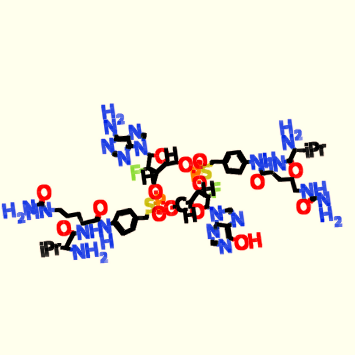 CC(C)C(N)C(=O)N[C@@H](CCCNC(N)=O)C(=O)Nc1ccc(CSP2(=O)OC[C@H]3[C@@H](F)[C@H](n4cnc5c(N)ncnc54)O[C@@H]3COP(=O)(SCc3ccc(NC(=O)[C@H](CCCNC(N)=O)NC(=O)[C@@H](N)C(C)C)cc3)O[C@H]3[C@@H](F)[C@H](n4cnc5c(O)ncnc54)O[C@@H]3CO2)cc1